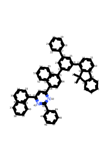 CC1(C)c2ccccc2-c2cccc(-c3cc(-c4ccccc4)cc(-c4ccc(-c5cc(-c6cccc7ccccc67)nc(-c6ccccc6)n5)c5ccccc45)c3)c21